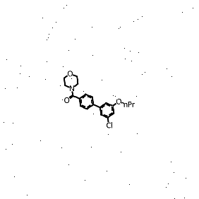 CCCOc1cc(Cl)cc(-c2ccc(C(=O)N3CCOCC3)cc2)c1